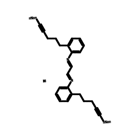 CCCCCCCCCC#CCCCc1ccccc1N=CC=Nc1ccccc1CCCC#CCCCCCCCCC.[Ni]